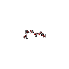 c1ccc(-n2c3ccccc3c3cc(-c4ccc5c(c4)c4cc(-c6ccc7c8c(cccc68)-c6ncc(-c8ccc9c(c8)c8ccc(-c%10ccc%11c(c%10)c%10ccccc%10n%11-c%10ccc%11c%12c(cccc%10%12)-c%10ncccc%10-%11)cc8n9-c8ccccc8)cc6-7)ccc4n5-c4ccccc4)ccc32)cc1